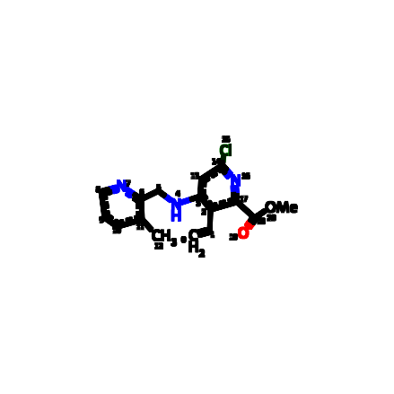 C=Cc1c(NCc2ncccc2C)cc(Cl)nc1C(=O)OC